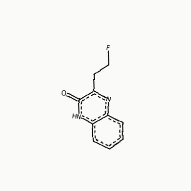 O=c1[nH]c2ccccc2nc1CCF